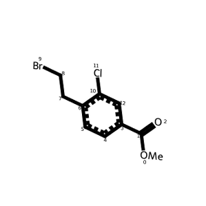 COC(=O)c1ccc(CCBr)c(Cl)c1